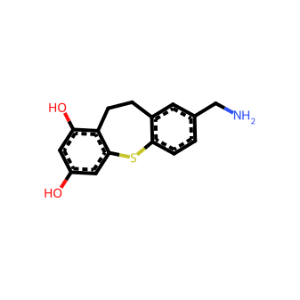 NCc1ccc2c(c1)CCc1c(O)cc(O)cc1S2